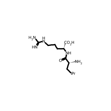 CC(C)C[C@@H](N)C(=O)N[C@H](CCCNC(=N)N)C(=O)O